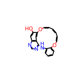 Oc1cc2ncnc3[nH]c4ccccc4occccccoc1cc23